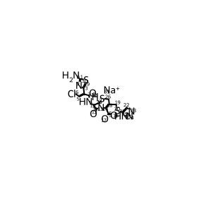 Nc1nc(C(=CCl)C(=O)NC2C(=O)N3C(C(=O)[O-])=C(CSc4cnn[nH]4)CS[C@@H]23)cs1.[Na+]